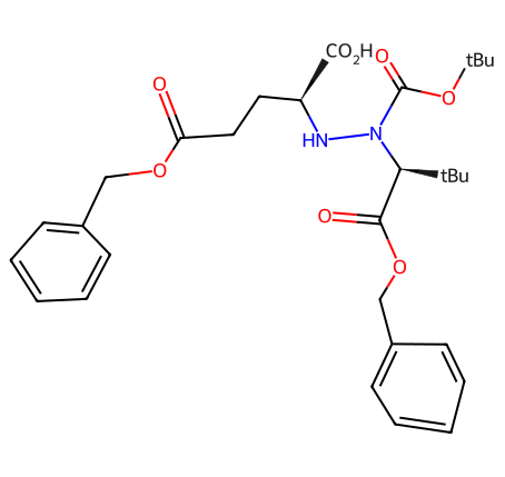 CC(C)(C)OC(=O)N(N[C@@H](CCC(=O)OCc1ccccc1)C(=O)O)[C@H](C(=O)OCc1ccccc1)C(C)(C)C